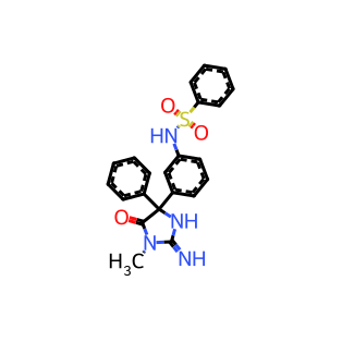 CN1C(=N)NC(c2ccccc2)(c2cccc(NS(=O)(=O)c3ccccc3)c2)C1=O